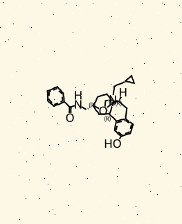 O=C(NC[C@]12CC[C@@]3(O1)[C@H]1Cc4ccc(O)cc4[C@@]3(CCN1CC1CC1)C2)c1ccccc1